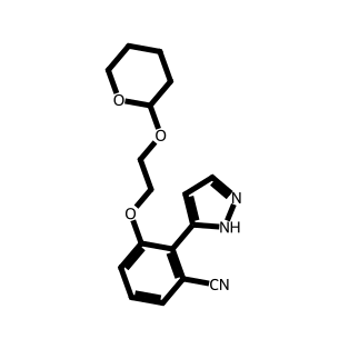 N#Cc1cccc(OCCOC2CCCCO2)c1-c1ccn[nH]1